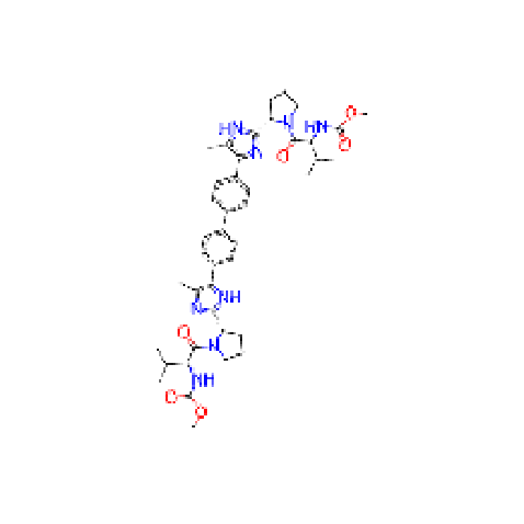 COC(=O)N[C@H](C(=O)N1CCC[C@H]1c1nc(-c2ccc(-c3ccc(-c4[nH]c([C@@H]5CCCN5C(=O)[C@@H](NC(=O)OC)C(C)C)nc4C)cc3)cc2)c(C)[nH]1)C(C)C